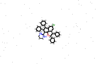 Brc1cc2c3c(c(C4=NCCCN4)c(-c4ccccc4)c(-c4ccccc4)c3c1)OC(c1ccccc1)=C2c1ccccc1